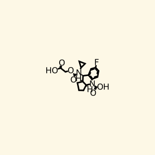 O=C(O)COC(=O)N(C1CC1)[C@H]1c2cc(F)ccc2N(C(=O)O)[C@@H]2CCC[C@@H]21